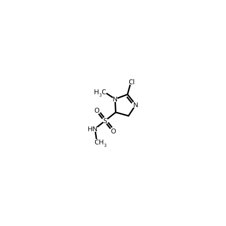 CNS(=O)(=O)C1CN=C(Cl)N1C